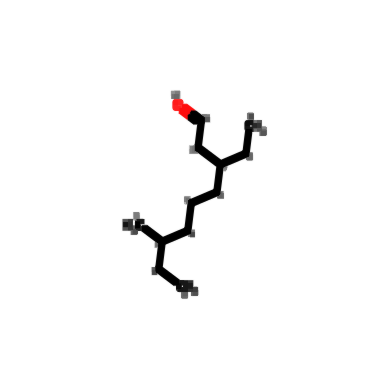 CCC(C)CCCC(CC)CC=O